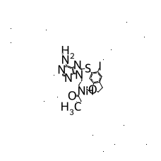 CCC(=O)NCCn1c(Sc2cc3c(cc2I)CCO3)nc2c(N)ncnc21